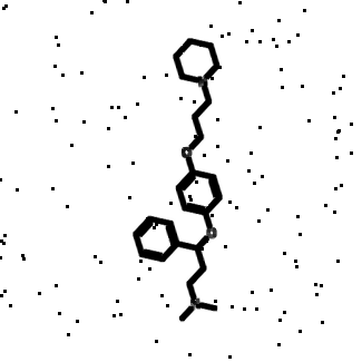 CN(C)CCC(Oc1ccc(OCCCN2CCCCC2)cc1)c1ccccc1